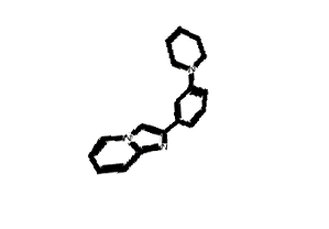 c1cc(-c2cn3ccccc3n2)cc(N2CCCCC2)c1